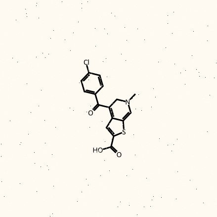 CN1C=c2sc(C(=O)O)cc2=C(C(=O)c2ccc(Cl)cc2)C1